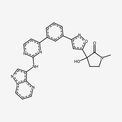 CN1CCC(O)(c2cc(-c3cccc(-c4ccnc(Nc5cnn6cccnc56)n4)c3)no2)C1=O